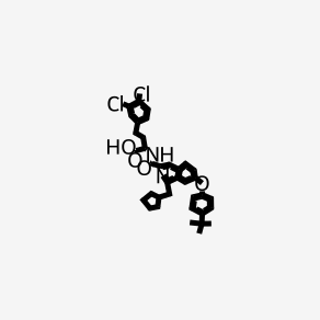 CC(C)(C)c1ccc(Oc2ccc3cc(C(=O)NC(CCc4ccc(Cl)c(Cl)c4)C(=O)O)nc(CC4CCCC4)c3c2)cc1